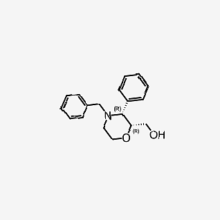 OC[C@@H]1OCCN(Cc2ccccc2)[C@@H]1c1ccccc1